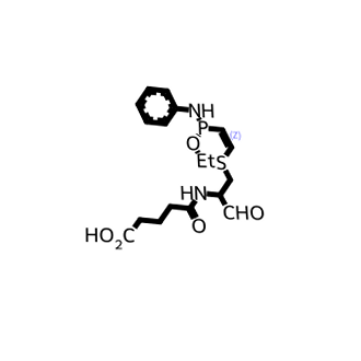 CCOP(/C=C\SCC(C=O)NC(=O)CCCC(=O)O)Nc1ccccc1